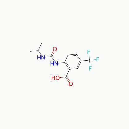 CC(C)NC(=O)Nc1ccc(C(F)(F)F)cc1C(=O)O